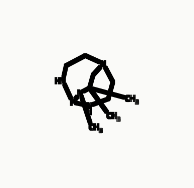 CN1P2NCCN(CCN2)CC1(C)C